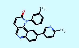 O=c1ccc2cnc3ccc(-c4ccc(C(F)(F)F)nc4)cc3c2n1-c1cccc(C(F)(F)F)c1